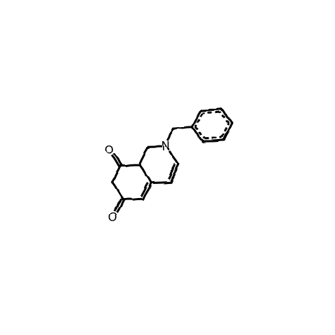 O=C1C=C2C=CN(Cc3ccccc3)CC2C(=O)C1